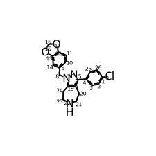 Clc1ccc(-c2nn(Cc3ccc4c(c3)OCO4)c3c2CCNCC3)cc1